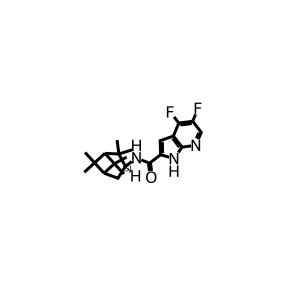 CC1(C)C2C[C@H](NC(=O)c3cc4c(F)c(F)cnc4[nH]3)C(C)(C)C1C2(C)C